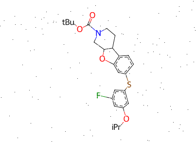 CC(C)Oc1cc(F)cc(Sc2ccc3c(c2)OC2CN(C(=O)OC(C)(C)C)CCC32)c1